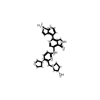 Cn1ccc2c(-c3ncc(Nc4ccc([C@H]5CCOC5)c(CN5CC[C@H](O)C5)n4)c4c3CNC4=O)ccnc21